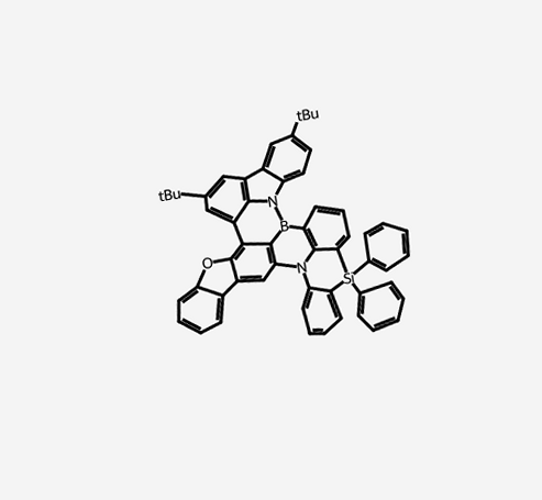 CC(C)(C)c1ccc2c(c1)c1cc(C(C)(C)C)cc3c1n2B1c2cccc4c2N(c2ccccc2[Si]4(c2ccccc2)c2ccccc2)c2cc4c(oc5ccccc54)c-3c21